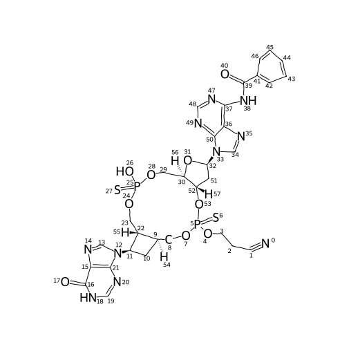 N#CCCOP1(=S)OC[C@H]2C[C@@H](n3cnc4c(=O)[nH]cnc43)[C@@H]2COP(O)(=S)OC[C@H]2O[C@@H](n3cnc4c(NC(=O)c5ccccc5)ncnc43)C[C@@H]2O1